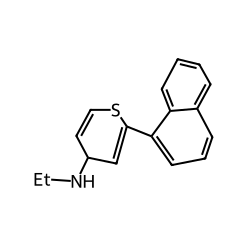 CCNC1C=CSC(c2cccc3ccccc23)=C1